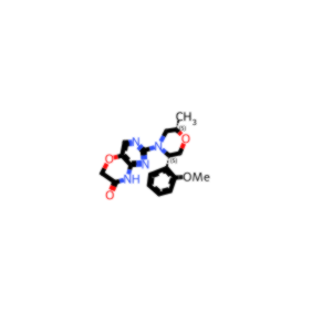 COc1ccccc1[C@H]1CO[C@@H](C)CN1c1ncc2c(n1)NC(=O)CO2